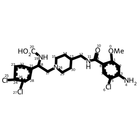 COc1cc(N)c(Cl)cc1C(=O)NCC1CCN(CC(NC(=O)O)c2ccc(Cl)c(Cl)c2)CC1